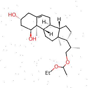 CCOC(C)OC[C@@H](C)[C@H]1CC[C@H]2[C@@H]3CC=C4C[C@@H](O)C[C@H](O)[C@]4(C)[C@H]3CC[C@]12C